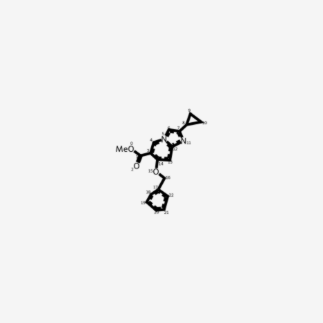 COC(=O)c1cn2cc(C3CC3)nc2cc1OCc1ccccc1